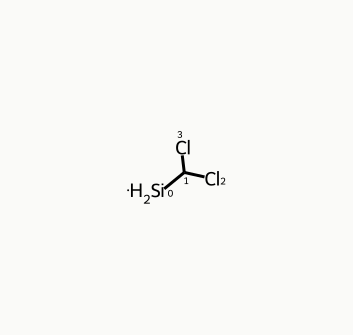 [SiH2]C(Cl)Cl